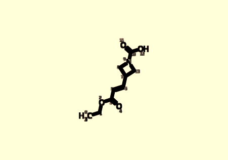 CCOC(=O)C=CC1CN(C(=O)O)C1